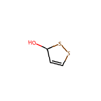 OC1C=CSS1